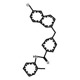 Cc1ccccc1NC(=O)c1ccc(Cc2ccc3cc(Cl)ccc3c2)cc1